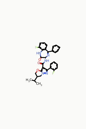 CC(C)C1COc2c(C(=O)N[C@H]3N=C(c4ccccc4)c4cccc(F)c4NC3=O)c(-c3ccccc3F)nn2C1